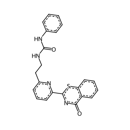 O=C(NCCc1cccc(-c2nc(=O)c3ccccc3s2)n1)Nc1ccccc1